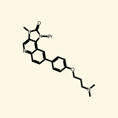 CC(C)n1c(=O)n(C)c2cnc3ccc(-c4ccc(OCCCN(C)C)cc4)cc3c21